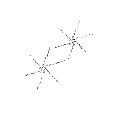 CCCCCCCCCCOc1c(OCCCCCCCCCC)c(OCCCCCCCCCC)c(OCCCCCCCCCC)c(OCCCCCCCCCC)c1OCCCCCCCCCC.CCCCCCCCCOc1c(OCCCCCCCCC)c(OCCCCCCCCC)c(OCCCCCCCCC)c(OCCCCCCCCC)c1OCCCCCCCCC